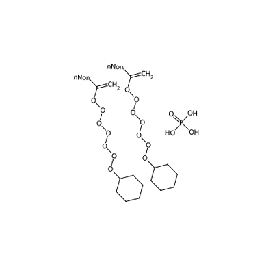 C=C(CCCCCCCCC)OOOOOOOC1CCCCC1.C=C(CCCCCCCCC)OOOOOOOC1CCCCC1.O=P(O)(O)O